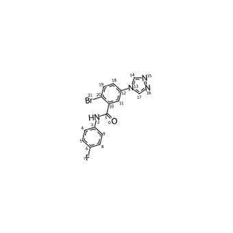 O=C(Nc1ccc(F)cc1)c1cc(-n2cnnc2)ccc1Br